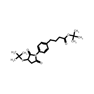 CC(C)(C)OC(=O)CCCc1ccc(N2C(=O)CC(SC(C)(C)C)C2=O)cc1